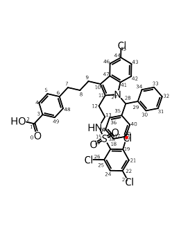 O=C(O)c1ccc(CCCc2c(CCNS(=O)(=O)c3c(Cl)cc(Cl)cc3Cl)n(C(c3ccccc3)c3ccccc3)c3ccc(Cl)cc23)cc1